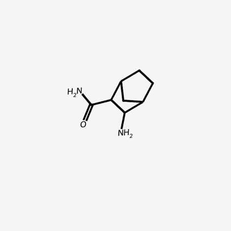 NC(=O)C1C2CCC(C2)C1N